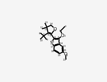 CCOc1c(C2=C(C(C)(C)C)C(C)(C)CO2)sc2ccc(OC)cc12